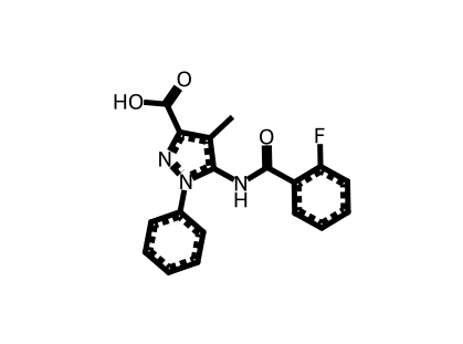 Cc1c(C(=O)O)nn(-c2ccccc2)c1NC(=O)c1ccccc1F